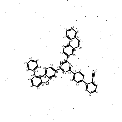 N#Cc1ccccc1-c1ccc(-c2nc(-c3ccc4c(ccc5ccccc54)c3)nc(-c3ccc4c(c3)oc3cccc(-c5ccccc5)c34)n2)cc1